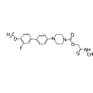 CNC(=O)COC(=O)N1CCN(c2ccc(-c3ccc(OC)c(F)c3)cc2)CC1